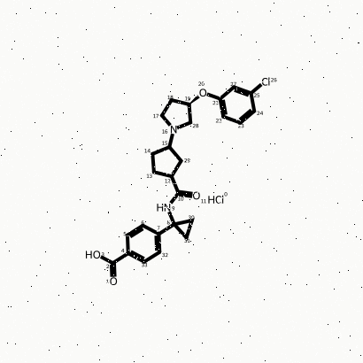 Cl.O=C(O)c1ccc(C2(NC(=O)C3CCC(N4CC[C@@H](Oc5cccc(Cl)c5)C4)C3)CC2)cc1